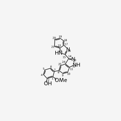 COc1c(O)cccc1-c1ccc2[nH]nc(-c3nc4ccccc4[nH]3)c2c1